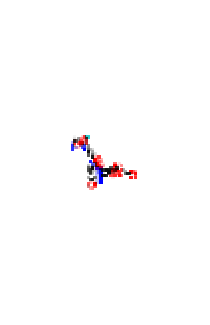 COCCCOC(=O)c1cc2cc(NC(=O)[C@@H]3[C@@H](C4CCC(OC)CC4)CCN3C(=O)C3CCC([C@@H](CF)NC(=O)OC(C)(C)C)CC3)ccc2o1